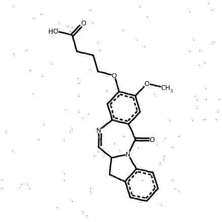 COc1cc2c(cc1OCCCC(=O)O)N=CC1Cc3ccccc3N1C2=O